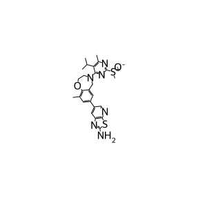 Cc1cc(-c2cnc3sc(N)nc3c2)cc2c1OCCN(c1nc([S+](C)[O-])nc(C)c1C(C)C)C2